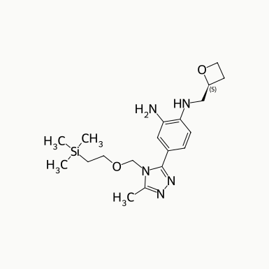 Cc1nnc(-c2ccc(NC[C@@H]3CCO3)c(N)c2)n1COCC[Si](C)(C)C